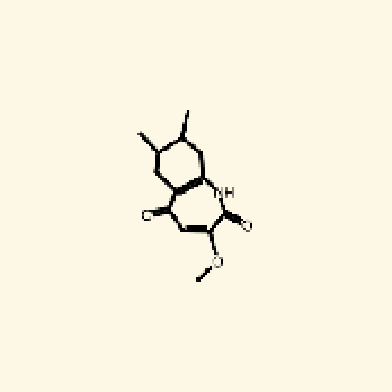 COc1cc(=O)c2c([nH]c1=O)CC(C)C(C)C2